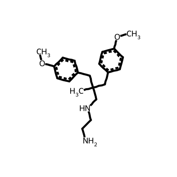 COc1ccc(CC(C)(CNCCN)Cc2ccc(OC)cc2)cc1